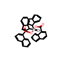 [CH2]=[Ti]([O]C(=O)c1cccc2ccccc12)([O]C(=O)c1cccc2ccccc12)([CH]1C=Cc2ccccc21)[CH]1C=Cc2ccccc21